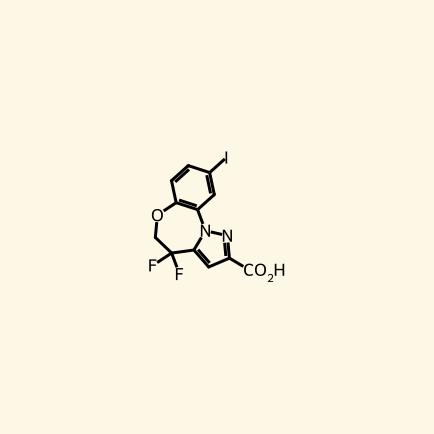 O=C(O)c1cc2n(n1)-c1cc(I)ccc1OCC2(F)F